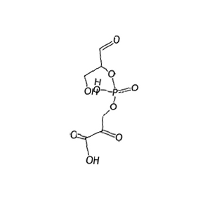 O=CC(CO)OP(=O)(O)OCC(=O)C(=O)O